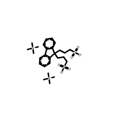 C[N+](C)(C)C.C[N+](C)(C)C.O=S(=O)([O-])CCCC1(CCCS(=O)(=O)[O-])c2c[c]ccc2-c2cc[c]cc21